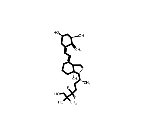 C=C1/C(=C\C=C2CCC[C@@]3(C)C2CC[C@@H]3[C@H](C)CCC(F)(F)C(C)(O)CO)C[C@@H](O)C[C@H]1O